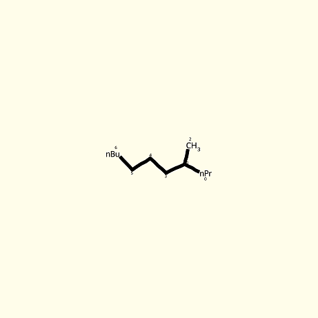 [CH2]CCC(C)CCCCCCC